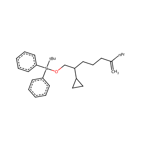 C=C(CCC)CCCC(CO[Si](c1ccccc1)(c1ccccc1)C(C)(C)C)C1CC1